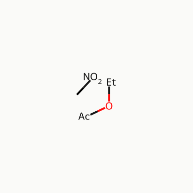 CCOC(C)=O.C[N+](=O)[O-]